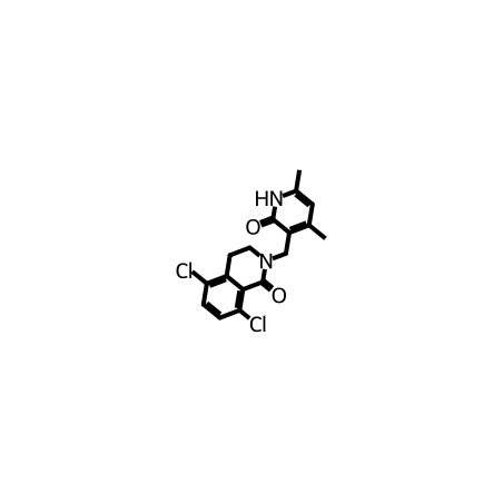 Cc1cc(C)c(CN2CCc3c(Cl)ccc(Cl)c3C2=O)c(=O)[nH]1